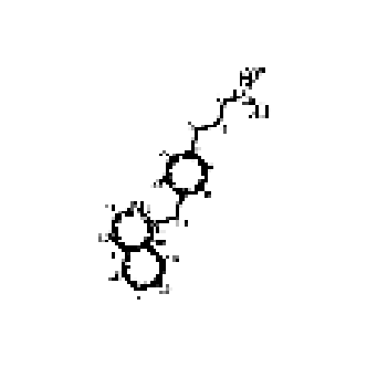 O=[SH](=O)CCCc1ccc(Cc2nccc3ccccc23)cc1